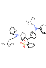 CC(C)CCN(c1ccccc1)c1ccc(C(c2ccc(N(CCC(C)C)c3ccccc3)cc2)c2ccccc2S(=O)(=O)O)cc1